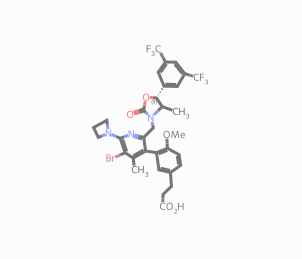 COc1ccc(CCC(=O)O)cc1-c1c(CN2C(=O)O[C@H](c3cc(C(F)(F)F)cc(C(F)(F)F)c3)C2C)nc(N2CCC2)c(Br)c1C